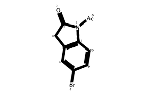 CC(=O)N1C(=O)Cc2cc(Br)ccc21